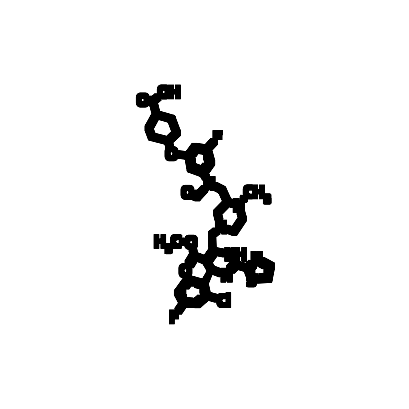 COC(=O)C1=C(CN2CCN(C)C(CN(C=O)c3cc(F)cc(OC4CCC(C(=O)O)CC4)c3)C2)NC(c2nccs2)=N[C@H]1c1ccc(F)cc1Cl